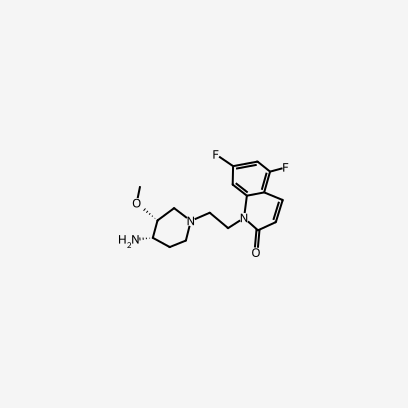 CO[C@@H]1CN(CCn2c(=O)ccc3c(F)cc(F)cc32)CC[C@@H]1N